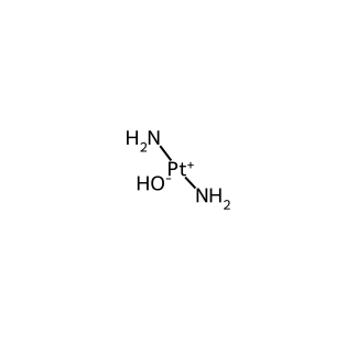 [NH2][Pt+][NH2].[OH-]